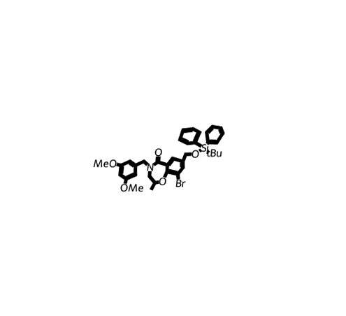 COc1cc(CN2CC(C)Oc3c(Br)cc(CO[Si](c4ccccc4)(c4ccccc4)C(C)(C)C)cc3C2=O)cc(OC)c1